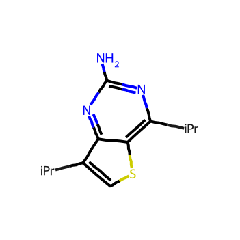 CC(C)c1csc2c(C(C)C)nc(N)nc12